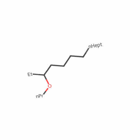 CCCCCCCCCCCC(CC)OCCC